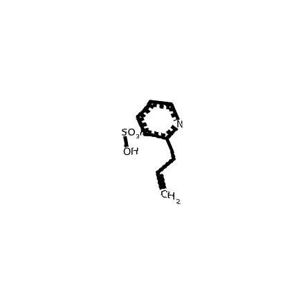 C=CCc1ccccn1.O=S(=O)(O)O